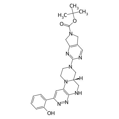 CC(C)(C)OC(=O)N1Cc2cnc(N3CCN4c5cc(-c6ccccc6O)nnc5NC[C@H]4C3)nc2C1